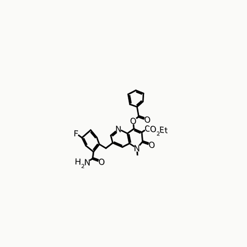 CCOC(=O)c1c(OC(=O)c2ccccc2)c2ncc(Cc3ccc(F)cc3C(N)=O)cc2n(C)c1=O